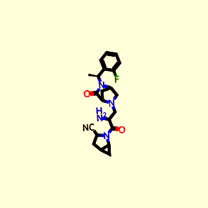 C[C@@H](c1ccccc1F)N1C(=O)C2CC1CN2CC(N)C(=O)N1C(C#N)CC2CC21